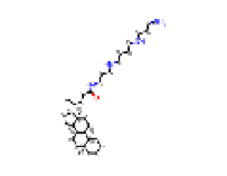 CC(CCC(=O)NCCCNCCCCNCCCN)[C@H]1CCC2C3CC[C@@H]4CCCC[C@]4(C)C3CC[C@@]21C